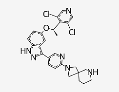 C[C@@H](Oc1ccc2[nH]nc(-c3ccc(N4CC5(CCCNC5)C4)nc3)c2c1)c1c(Cl)cncc1Cl